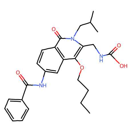 CCCCOc1c(CNC(=O)O)n(CC(C)C)c(=O)c2ccc(NC(=O)c3ccccc3)cc12